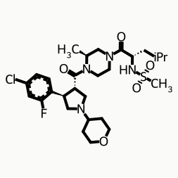 CC(C)C[C@H](NS(C)(=O)=O)C(=O)N1CCN(C(=O)[C@@H]2CN(C3CCOCC3)C[C@H]2c2ccc(Cl)cc2F)[C@@H](C)C1